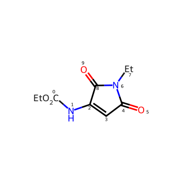 CCOC(=O)NC1=CC(=O)N(CC)C1=O